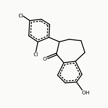 O=C1c2ccc(O)cc2CCCC1c1ccc(Cl)cc1Cl